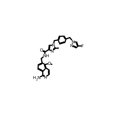 COc1c(CNC(=O)c2cn(Cc3ccc(Cn4cc(F)cn4)cc3)c(C)n2)ccc2c(N)nccc12